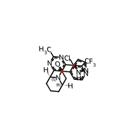 Cc1nc(-c2ccn[nH]2)c2c(n1)[C@@H]1CCC[C@H](C2)N1C(=O)c1ccnc(C(F)(F)F)c1Cl